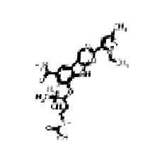 CCn1nc(C)cc1-c1ncc2c(n1)[nH]c1c(OC(CCNC(=O)O)C(C)(C)C)cc(C(N)=O)cc12